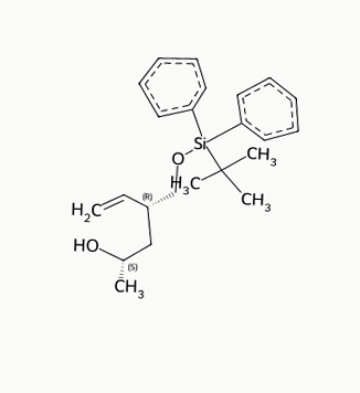 C=C[C@H](CO[Si](c1ccccc1)(c1ccccc1)C(C)(C)C)C[C@H](C)O